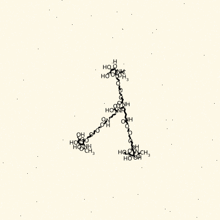 CC(=O)NC1[C@H](OCCOCCOCCOCC(=O)N[C@@H](CCCCNC(=O)COCCOCCOCCO[C@@H]2O[C@H](CO)[C@H](O)[C@H](O)[C@H]2NC(C)=O)C(=O)N[C@@H](CCCCNC(=O)COCCOCCOCCO[C@@H]2O[C@H](CO)[C@H](O)[C@H](O)[C@H]2NC(C)=O)C(=O)O)O[C@H](CO)[C@H](O)[C@@H]1O